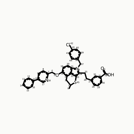 CC1Cc2c(OCc3ccc(-c4ccccc4)cn3)ccc3c2c(c(CCc2cccc(C(=O)O)c2)n3Cc2ccc(Cl)cc2)S1